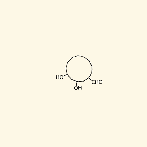 O=CC1CCCCCCCCC(O)CC(O)C1